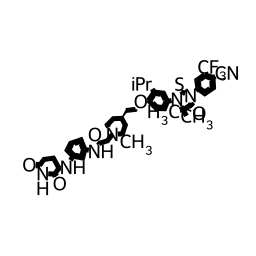 CC(C)c1cc(N2C(=S)N(c3ccc(C#N)c(C(F)(F)F)c3)C(=O)C2(C)C)ccc1OCC[C@@H]1CCN(CC(=O)Nc2cccc(NC3CCC(=O)NC3=O)c2)[C@H](C)C1